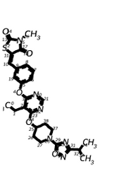 CCc1c(Oc2cccc(C=C3SC(=O)N(C)C3=O)c2)ncnc1OC1CCN(c2nc(C(C)C)no2)CC1